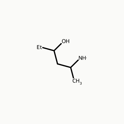 CCC(O)CC(C)[NH]